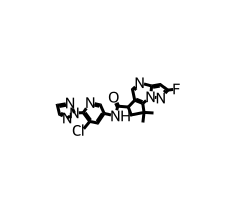 CC1(C)CC(C(=O)Nc2cnc(-n3nccn3)c(Cl)c2)c2cnc3cc(F)nn3c21